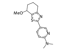 COC1CCCc2nc(-c3ccc(N(C)C)nc3)sc21